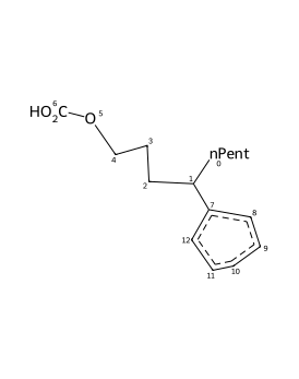 CCCCCC(CCCOC(=O)O)c1ccccc1